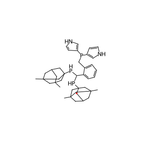 CC12CC3CC(C)(C1)CC(PC(PC14CC5CC(C)(CC(C)(C5)C1)C4)c1ccccc1CP(c1cc[nH]c1)c1cc[nH]c1)(C3)C2